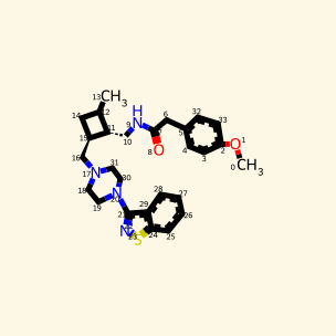 COc1ccc(CC(=O)NC[C@H]2C(C)C[C@@H]2CN2CCN(c3nsc4ccccc34)CC2)cc1